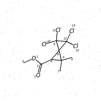 COC(=O)C1C(C)(C)C12C(Cl)(Cl)C2(Cl)Cl